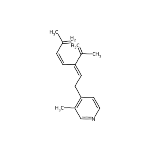 C=C(C)/C=C\C(=C/Cc1ccncc1C)C(=C)C